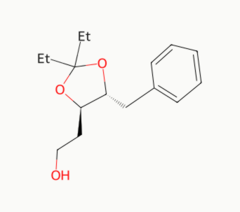 CCC1(CC)O[C@H](CCO)[C@@H](Cc2ccccc2)O1